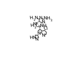 C[C@H](Nc1nc(N)nc(N)c1C#N)c1cn(-c2cn[nH]c2)c2nccc(Cl)c12